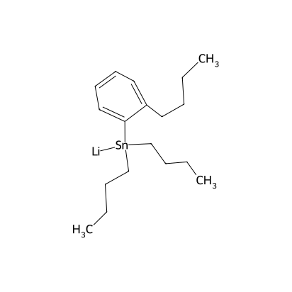 [Li][Sn]([CH2]CCC)([CH2]CCC)[c]1ccccc1CCCC